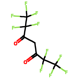 O=C(CC(=O)C(F)(F)C(F)(F)F)C(F)(F)C(F)(F)F